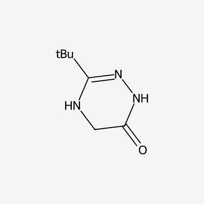 CC(C)(C)C1=NNC(=O)CN1